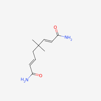 CC(C)(C=CC(N)=O)CC=CC(N)=O